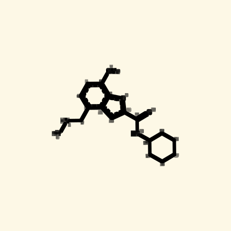 CCCNCc1ccc(OC)c2oc(C(=O)NC3CCCCC3)cc12